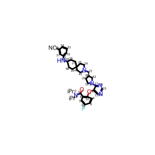 CC(C)N(C(=O)c1cc(F)ccc1Oc1cncnc1N1CC[C@@H](CN2CCC3(CCC(Nc4cccc(C#N)c4)CC3)CC2)C1)C(C)C